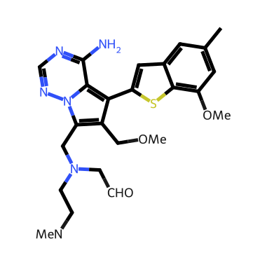 CNCCN(CC=O)Cc1c(COC)c(-c2cc3cc(C)cc(OC)c3s2)c2c(N)ncnn12